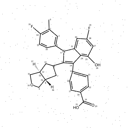 Cc1cc(-n2c(C3C[C@@H]4COC[C@H]4C3)c(-c3ccc(C(=O)O)cc3)c3c(O)cc(F)cc32)ccc1F